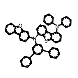 c1ccc(-c2cc(-c3ccccc3)cc(N(c3ccc4c(c3)oc3ccccc34)c3cccc4c3sc3cccc(N(c5ccccc5)c5ccccc5)c34)c2)cc1